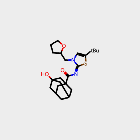 CC(C)(C)c1cn(CC2CCCO2)c(=NC(=O)C23CC4CC(CC(O)(C4)C2)C3)s1